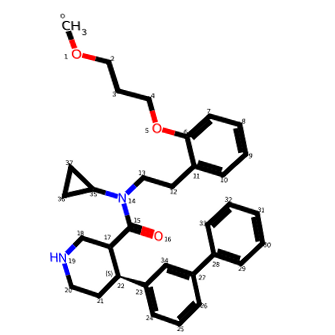 COCCCOc1ccccc1CCN(C(=O)C1CNCC[C@@H]1c1cccc(-c2ccccc2)c1)C1CC1